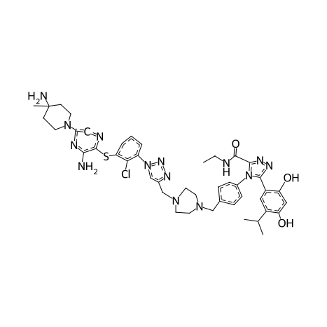 CCNC(=O)c1nnc(-c2cc(C(C)C)c(O)cc2O)n1-c1ccc(CN2CCN(Cc3cn(-c4cccc(Sc5ncc(N6CCC(C)(N)CC6)nc5N)c4Cl)nn3)CC2)cc1